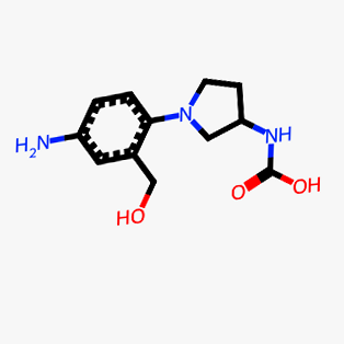 Nc1ccc(N2CCC(NC(=O)O)C2)c(CO)c1